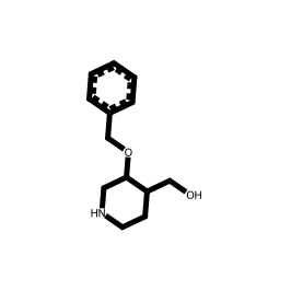 OCC1CCNCC1OCc1ccccc1